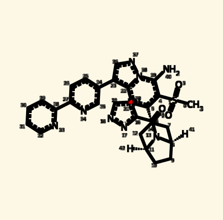 CS(=O)(=O)c1c([C@@H]2C[C@H]3CC[C@@H](C2)N3C(=O)c2nnc[nH]2)nc2c(-c3ccc(-c4ccccn4)nc3)cnn2c1N